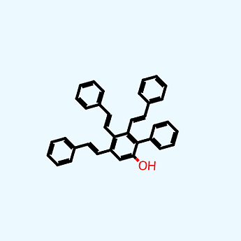 Oc1cc(C=Cc2ccccc2)c(C=Cc2ccccc2)c(C=Cc2ccccc2)c1-c1ccccc1